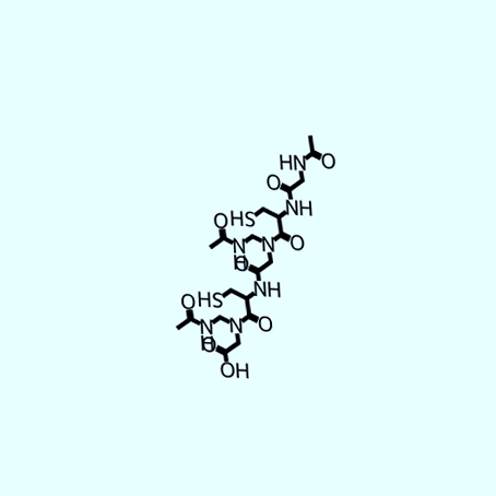 CC(=O)NCC(=O)NC(CS)C(=O)N(CNC(C)=O)CC(=O)NC(CS)C(=O)N(CNC(C)=O)CC(=O)O